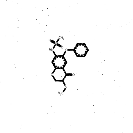 CSC1COc2cc(NS(C)(=O)=O)c(Oc3ccccc3)cc2C1=O